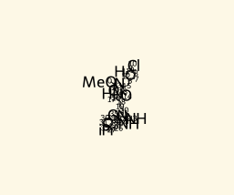 COC(=O)N[C@@H](Cc1ccc(Cl)cc1)C(=O)NC(C)CCCN1C(=N)NC(CC(C)C)(c2ccccc2)C1=O